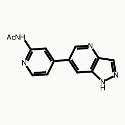 CC(=O)Nc1cc(-c2cnc3cn[nH]c3c2)ccn1